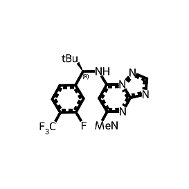 CNc1cc(N[C@@H](c2ccc(C(F)(F)F)c(F)c2)C(C)(C)C)n2ncnc2n1